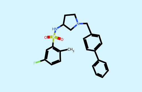 Cc1ccc(F)cc1S(=O)(=O)NC1CCN(Cc2ccc(-c3ccccc3)cc2)C1